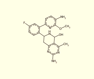 COc1nc(-c2cc(F)ccc2C2Cc3nc(N)nc(C)c3C(O)N2)ccc1N